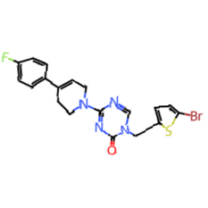 O=c1nc(N2CC=C(c3ccc(F)cc3)CC2)ncn1Cc1ccc(Br)s1